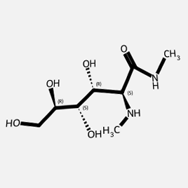 CNC(=O)[C@@H](NC)[C@@H](O)[C@H](O)[C@H](O)CO